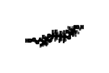 O=S(=O)(O)C(F)(F)C(F)(F)OC(F)(F)C(F)(F)C(F)(F)C(F)(F)OC(F)(F)C(F)(F)SOOO